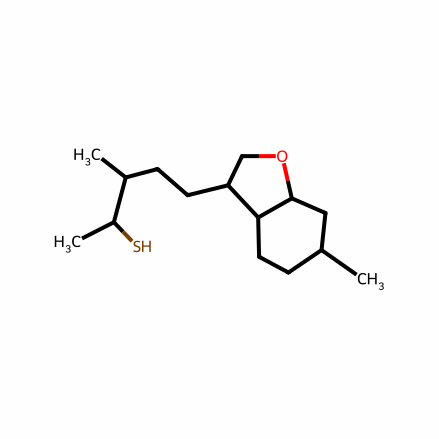 CC1CCC2C(CCC(C)C(C)S)COC2C1